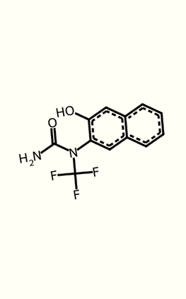 NC(=O)N(c1cc2ccccc2cc1O)C(F)(F)F